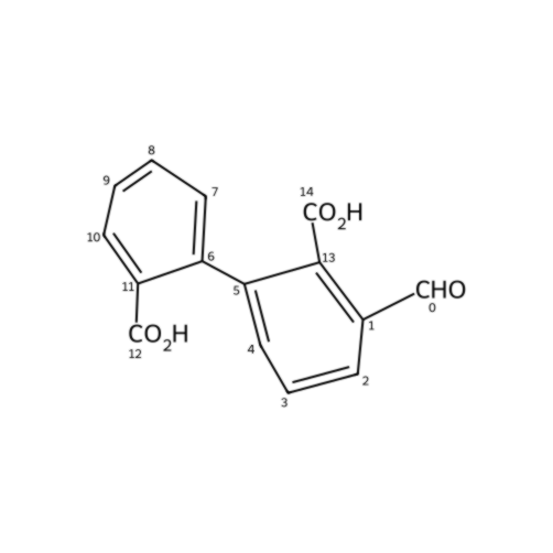 O=Cc1cccc(-c2ccccc2C(=O)O)c1C(=O)O